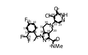 CNC(=O)c1nn(C(C)c2ccc(F)cc2C(F)F)c2c1CN(c1cn[nH]c(=O)c1Cl)CC2